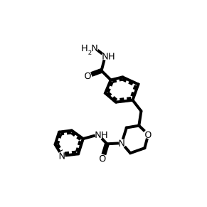 NNC(=O)c1ccc(CC2CN(C(=O)Nc3cccnc3)CCO2)cc1